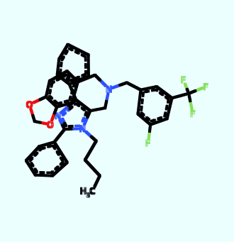 CCCCn1c(-c2ccccc2)nc(-c2ccccc2)c1CN(Cc1cc(F)cc(C(F)(F)F)c1)Cc1ccc2c(c1)OCO2